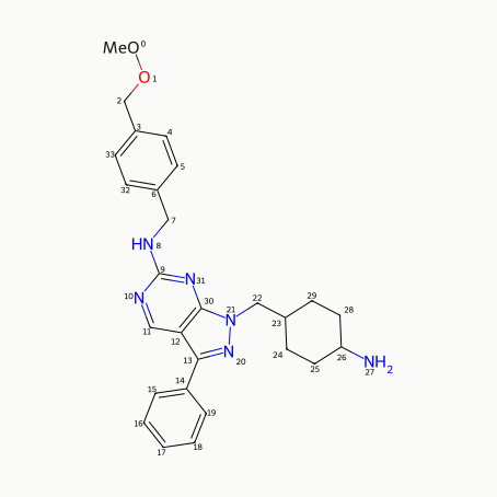 COOCc1ccc(CNc2ncc3c(-c4ccccc4)nn(CC4CCC(N)CC4)c3n2)cc1